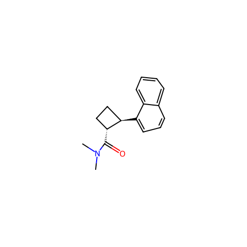 CN(C)C(=O)[C@@H]1CC[C@H]1c1cccc2ccccc12